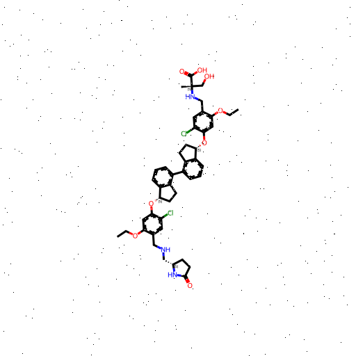 CCOc1cc(O[C@H]2CCc3c(-c4cccc5c4CC[C@@H]5Oc4cc(OCC)c(CN[C@@](C)(CO)C(=O)O)cc4Cl)cccc32)c(Cl)cc1CNC[C@@H]1CCC(=O)N1